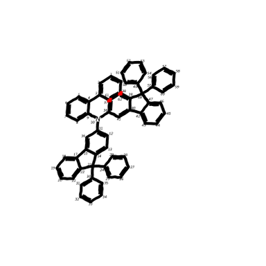 c1ccc(-c2ccccc2N(c2ccc3c(c2)-c2ccccc2C3(c2ccccc2)c2ccccc2)c2ccc3c(c2)-c2ccccc2C3(c2ccccc2)c2ccccc2)cc1